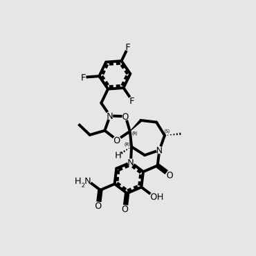 CCC1O[C@]2(CC[C@H](C)N3C[C@H]2n2cc(C(N)=O)c(=O)c(O)c2C3=O)ON1Cc1c(F)cc(F)cc1F